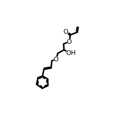 C=CC(=O)OCC(O)COCC=Cc1ccccc1